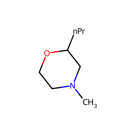 CCCC1CN(C)CCO1